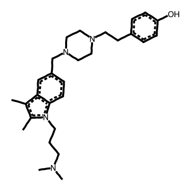 Cc1c(C)n(CCCN(C)C)c2ccc(CN3CCN(CCc4ccc(O)cc4)CC3)cc12